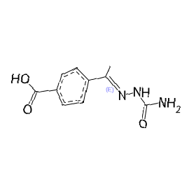 C/C(=N\NC(N)=O)c1ccc(C(=O)O)cc1